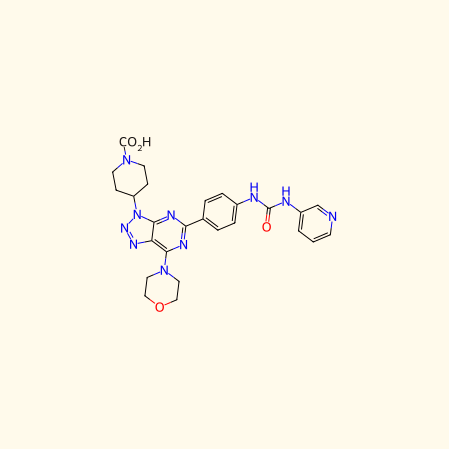 O=C(Nc1ccc(-c2nc(N3CCOCC3)c3nnn(C4CCN(C(=O)O)CC4)c3n2)cc1)Nc1cccnc1